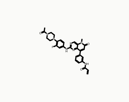 C=CC(=O)Nc1cccc(-c2cc(=O)n(C)c3cnc(Nc4ccc(N5CCN(C(C)=O)CC5)c(F)c4)nc23)c1